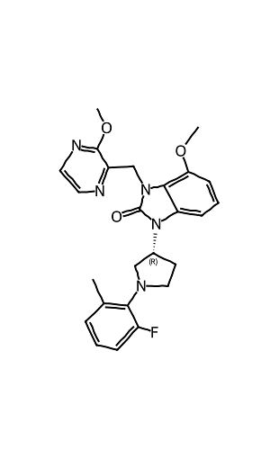 COc1nccnc1Cn1c(=O)n([C@@H]2CCN(c3c(C)cccc3F)C2)c2cccc(OC)c21